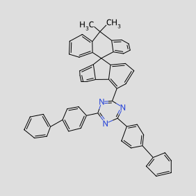 CC1(C)c2ccccc2C2(c3ccccc3-c3c(-c4nc(-c5ccc(-c6ccccc6)cc5)nc(-c5ccc(-c6ccccc6)cc5)n4)cccc32)c2ccccc21